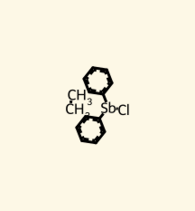 CC.[Cl][Sb]([c]1ccccc1)[c]1ccccc1